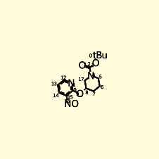 CC(C)(C)OC(=O)N1CCC[C@H](Oc2ncccc2N=O)C1